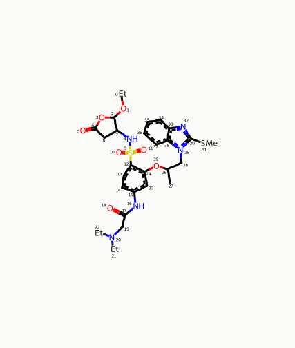 CCOC1OC(=O)CC1NS(=O)(=O)c1ccc(NC(=O)CN(CC)CC)cc1OC(C)Cn1c(SC)nc2ccccc21